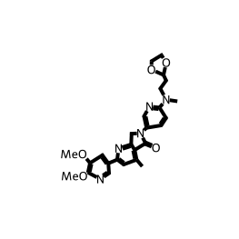 COc1cc(-c2cc(C)c3c(n2)CN(c2ccc(N(C)CCC4OCCO4)nc2)C3=O)cnc1OC